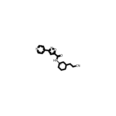 N#CCCC1CCC[C@@H](NC(=O)c2cc(-c3ccncc3)no2)C1